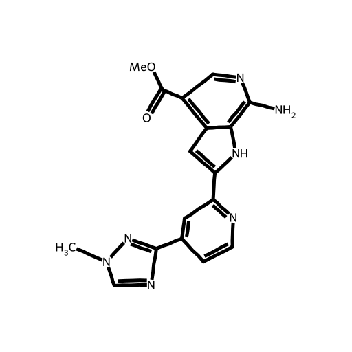 COC(=O)c1cnc(N)c2[nH]c(-c3cc(-c4ncn(C)n4)ccn3)cc12